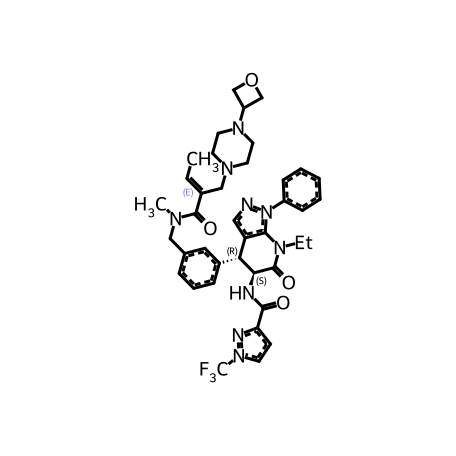 C/C=C(\CN1CCN(C2COC2)CC1)C(=O)N(C)Cc1cccc([C@@H]2c3cnn(-c4ccccc4)c3N(CC)C(=O)[C@H]2NC(=O)c2ccn(C(F)(F)F)n2)c1